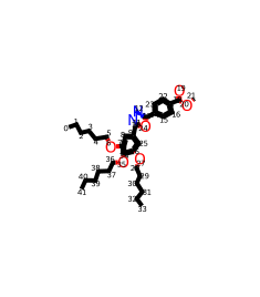 CCCCCCOc1cc(-c2nnc(-c3ccc(C(=O)OC)cc3)o2)cc(OCCCCCC)c1OCCCCCC